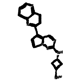 CN[C@H]1C[C@H](Nc2ncc3c(-c4ccc5ncccc5n4)ccn3n2)C1